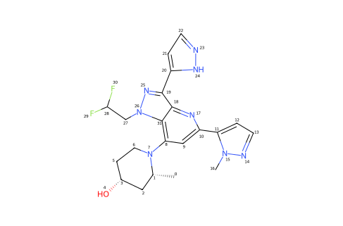 C[C@@H]1C[C@H](O)CCN1c1cc(-c2ccnn2C)nc2c(-c3ccn[nH]3)nn(CC(F)F)c12